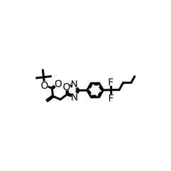 C=C(Cc1nc(-c2ccc(C(F)(F)CCCC)cc2)no1)C(=O)OC(C)(C)C